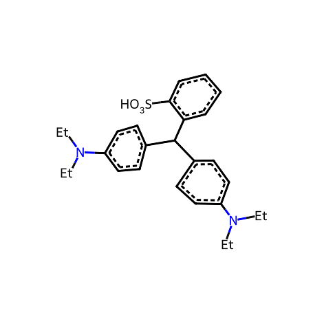 CCN(CC)c1ccc(C(c2ccc(N(CC)CC)cc2)c2ccccc2S(=O)(=O)O)cc1